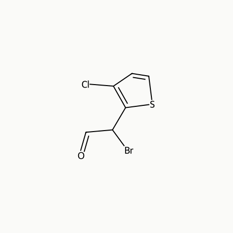 O=CC(Br)c1sccc1Cl